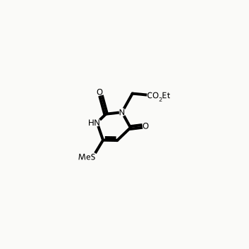 CCOC(=O)Cn1c(=O)cc(SC)[nH]c1=O